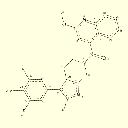 COc1cc(C(=O)N2CCc3c(nn(C)c3-c3cc(F)c(F)c(F)c3)C2)c2ccccc2n1